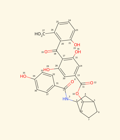 O=C(NC1CC2CCC1C2OC(=O)c1cc(O)c(C(=O)c2c(O)cccc2C(=O)O)c(O)c1)c1ccc(O)cc1